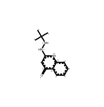 CC(C)(C)NNc1cc(=O)c2ccccc2[nH]1